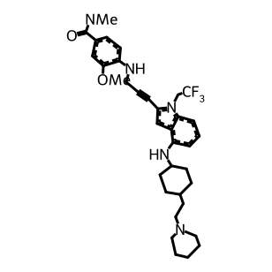 CNC(=O)c1ccc(NCC#Cc2cc3c(NC4CCC(CCN5CCCCC5)CC4)cccc3n2CC(F)(F)F)c(OC)c1